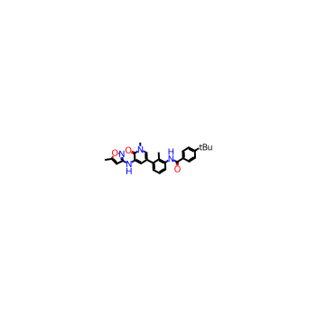 Cc1cc(Nc2cc(-c3cccc(NC(=O)c4ccc(C(C)(C)C)cc4)c3C)cn(C)c2=O)no1